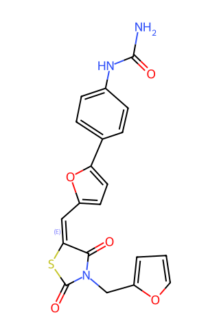 NC(=O)Nc1ccc(-c2ccc(/C=C3/SC(=O)N(Cc4ccco4)C3=O)o2)cc1